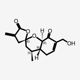 C=C1C[C@@]2(C[C@H](C)[C@H]3CC=C(CO)C(=O)[C@@H]3O2)OC1=O